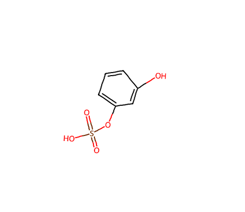 O=S(=O)(O)Oc1cccc(O)c1